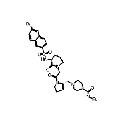 CCNC(=O)N1CCN(C[C@@H]2CCCN2C(=O)CN2CCC[C@H](NS(=O)(=O)c3ccc4cc(Br)ccc4c3)C2=O)CC1